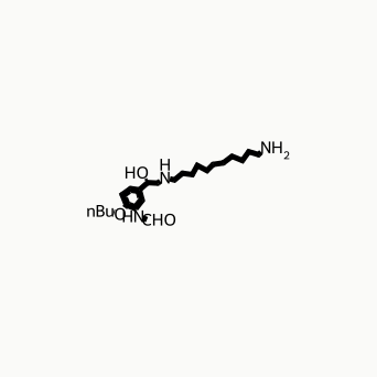 CCCCOc1ccc([C@@H](O)CNCCCCCCCCCCCN)cc1NC=O